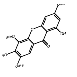 COc1cc(O)c2c(=O)c3cc(OC)c(O)c(OC)c3oc2c1